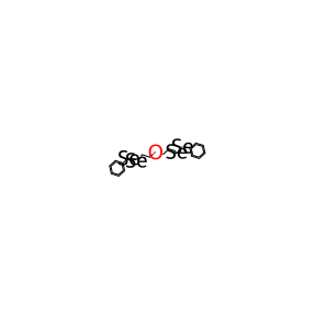 c1ccc([Se][Se]CCOCC[Se][Se]c2ccccc2)cc1